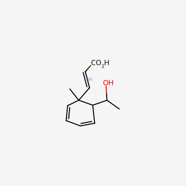 CC(O)C1C=CC=CC1(C)/C=C/C(=O)O